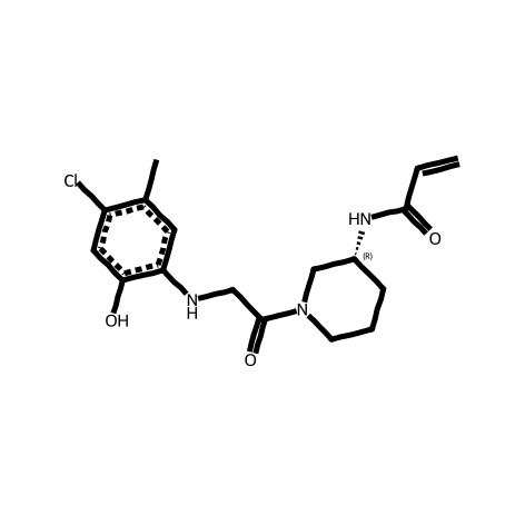 C=CC(=O)N[C@@H]1CCCN(C(=O)CNc2cc(C)c(Cl)cc2O)C1